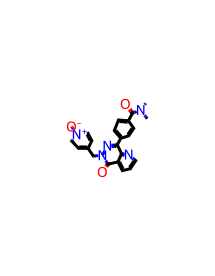 CN(C)C(=O)c1ccc(-c2nn(Cc3cc[n+]([O-])cc3)c(=O)c3cccnc23)cc1